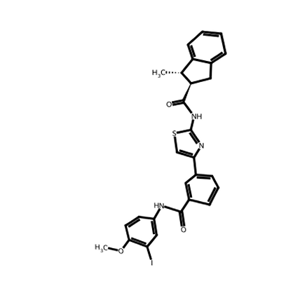 COc1ccc(NC(=O)c2cccc(-c3csc(NC(=O)[C@@H]4Cc5ccccc5[C@H]4C)n3)c2)cc1I